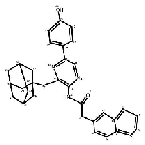 O=C(Cc1ccc2ccccc2c1)Nc1ncc(-c2ccc(O)cc2)nc1CC12CC3CC(CC(C3)C1)C2